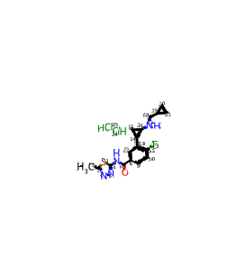 Cc1nnc(NC(=O)c2ccc(F)c(C3CC3NCC3CC3)c2)s1.Cl.Cl